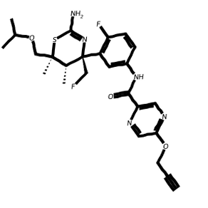 C#CCOc1cnc(C(=O)Nc2ccc(F)c([C@@]3(CF)N=C(N)S[C@](C)(COC(C)C)[C@H]3C)c2)cn1